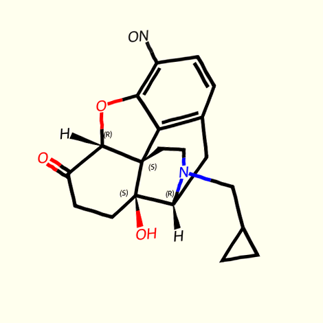 O=Nc1ccc2c3c1O[C@H]1C(=O)CC[C@@]4(O)[C@@H](C2)N(CC2CC2)CC[C@]314